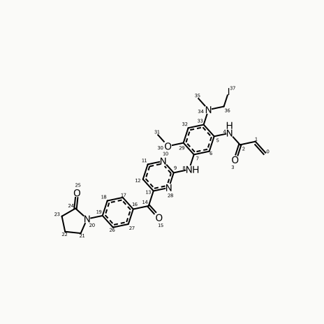 C=CC(=O)Nc1cc(Nc2nccc(C(=O)c3ccc(N4CCCC4=O)cc3)n2)c(OC)cc1N(C)CI